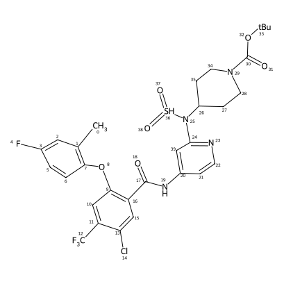 Cc1cc(F)ccc1Oc1cc(C(F)(F)F)c(Cl)cc1C(=O)Nc1ccnc(N(C2CCN(C(=O)OC(C)(C)C)CC2)[SH](=O)=O)c1